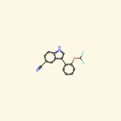 N#Cc1ccc2[nH]cc(-c3ccccc3OC(F)F)c2c1